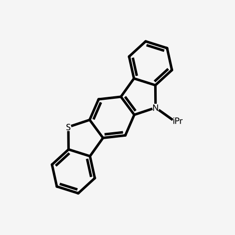 CC(C)n1c2ccccc2c2cc3sc4ccccc4c3cc21